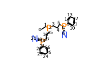 CCP(CCCP(C#N)c1ccccc1)CCCP(C#N)c1ccccc1